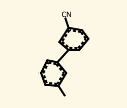 Cc1c[c]cc(-c2cccc(C#N)c2)c1